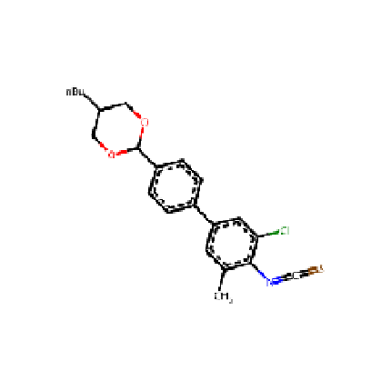 CCCCC1COC(c2ccc(-c3cc(C)c(N=C=S)c(Cl)c3)cc2)OC1